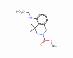 CC(C)(C)OC(=O)N1Cc2cccc(NCC(=O)O)c2C(C)(C)C1